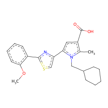 COc1ccccc1-c1nc(-c2cc(C(=O)O)c(C)n2CC2CCCCC2)cs1